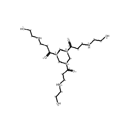 O=C(CCNCCO)N1CN(C(=O)CCNCCO)CN(C(=O)CCNCCO)C1